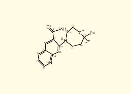 NC(=O)c1cc2cccnc2cc1N1CCCC(F)(F)CC1